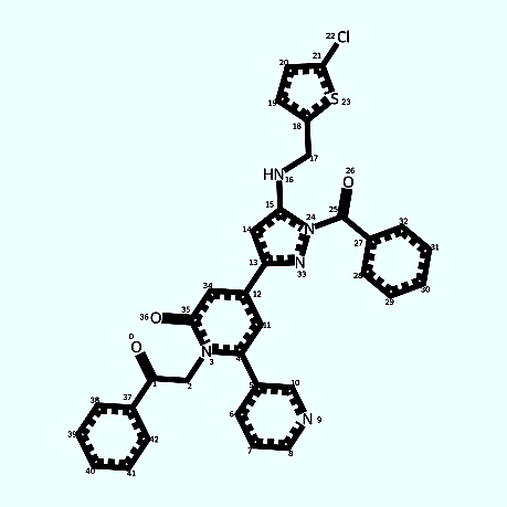 O=C(Cn1c(-c2cccnc2)cc(-c2cc(NCc3ccc(Cl)s3)n(C(=O)c3ccccc3)n2)cc1=O)c1ccccc1